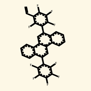 C=Cc1c(F)c(F)c(F)c(-c2cc3c4ccccc4c(-c4c(F)c(F)c(F)c(F)c4F)cc3c3ccccc23)c1F